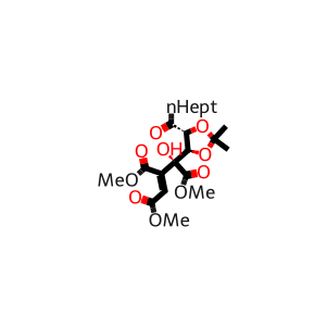 CCCCCCCC(=O)[C@@H]1OC(C)(C)O[C@H]1[C@@](O)(C(=O)OC)/C(=C/C(=O)OC)C(=O)OC